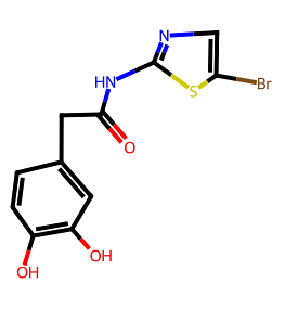 O=C(Cc1ccc(O)c(O)c1)Nc1ncc(Br)s1